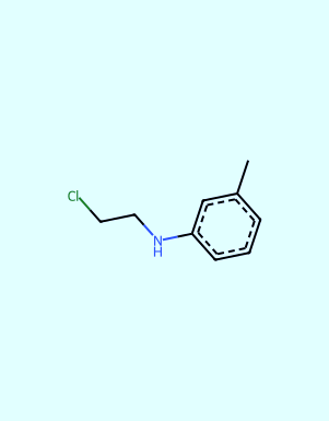 Cc1cccc(NCCCl)c1